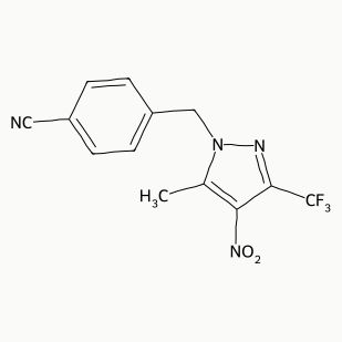 Cc1c([N+](=O)[O-])c(C(F)(F)F)nn1Cc1ccc(C#N)cc1